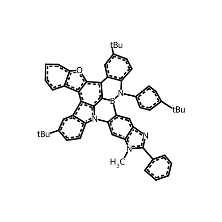 Cn1c(-c2ccccc2)nc2cc3c(cc21)-n1c2ccc(C(C)(C)C)cc2c2c4c(oc5ccccc54)c4c(c21)B3N(c1ccc(C(C)(C)C)cc1)c1ccc(C(C)(C)C)cc1-4